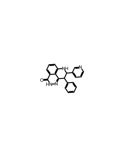 O=c1[nH]nc2c3c(cccc13)NC(c1cccnc1)C2c1ccccc1